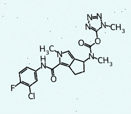 CN(C(=O)Oc1nnnn1C)C1CCc2c1cn(C)c2C(=O)Nc1ccc(F)c(Cl)c1